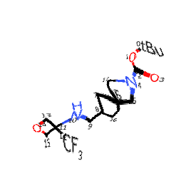 CC(C)(C)OC(=O)N1CC2(CC(CNC3(C(F)(F)F)COC3)C2)C1